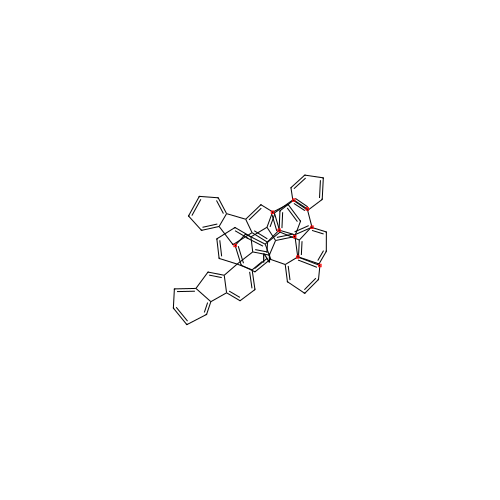 C1=CC2(C3=Cc4ccccc4C3=C1)C1=Cc3ccccc3C1=CC=C2N(c1ccccc1-c1ccccc1-c1ccccc1)c1c2c(cc(-c3ccccc3)c1-c1ccccc1)-c1ccccc1C2